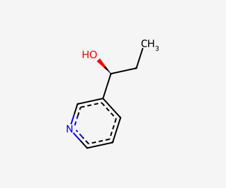 CC[C@H](O)c1cccnc1